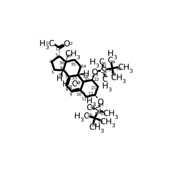 CC(=O)[C@H]1CC[C@H]2C3=CC=C4C[C@@H](O[Si](C)(C)C(C)(C)C)C[C@H](O[Si](C)(C)C(C)(C)C)[C@]4(C)[C@H]3CC[C@]12C